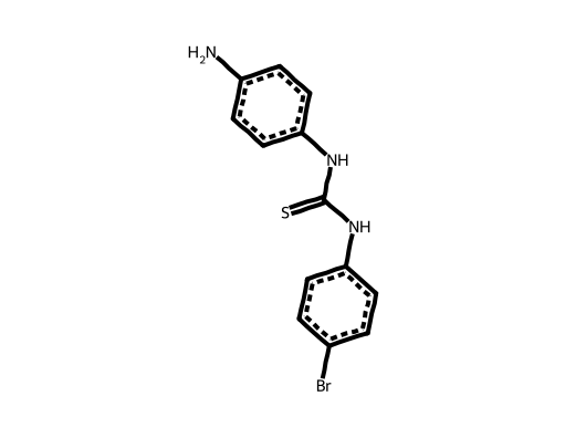 Nc1ccc(NC(=S)Nc2ccc(Br)cc2)cc1